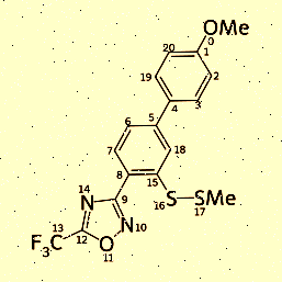 COc1ccc(-c2ccc(-c3noc(C(F)(F)F)n3)c(SSC)c2)cc1